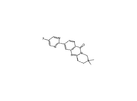 CC1(C)CCc2nc3cc(-c4ncc(F)cn4)ccc3c(=O)n2C1